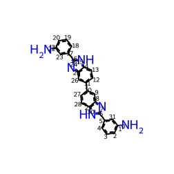 Nc1cccc(-c2nc3cc(-c4ccc5[nH]c(-c6cccc(N)c6)nc5c4)ccc3[nH]2)c1